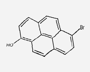 Oc1ccc2ccc3c(Br)ccc4ccc1c2c43